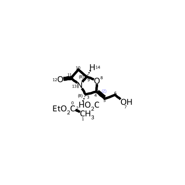 CCOC(C)=O.O=C(O)[C@H]1/C(=C/CO)O[C@@H]2CC(=O)N21